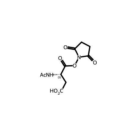 CC(=O)N[C@@H](CC(=O)O)C(=O)ON1C(=O)CCC1=O